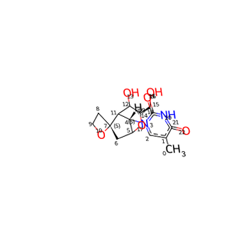 Cc1cn([C@@H]2C3C[C@@]4(CCO4)C2C(O)[C@@H](CO)O3)c(=O)[nH]c1=O